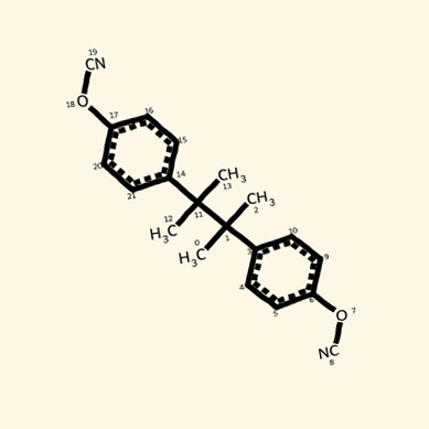 CC(C)(c1ccc(OC#N)cc1)C(C)(C)c1ccc(OC#N)cc1